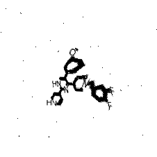 COc1cccc(C2=CNC(C3=CCNC=C3)N=C2C2CCN(Cc3ccc(F)c(F)c3)CC2)c1